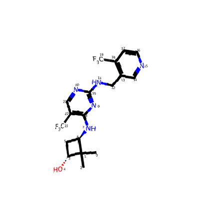 CC1(C)[C@H](O)C[C@H]1Nc1nc(NCc2cnccc2C(F)(F)F)ncc1C(F)(F)F